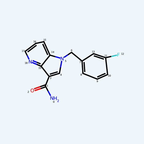 NC(=O)c1cn(Cc2cccc(F)c2)c2cccnc12